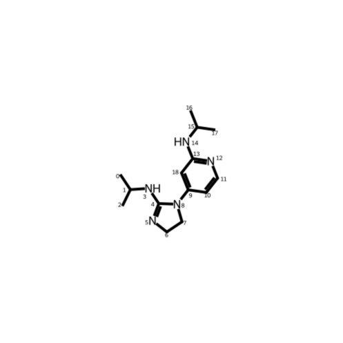 CC(C)NC1=NCCN1c1ccnc(NC(C)C)c1